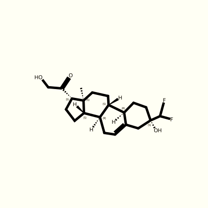 C[C@]12CC[C@H]3[C@@H](CC=C4C[C@](O)(C(F)F)CC[C@@H]43)[C@@H]1CC[C@@H]2C(=O)CO